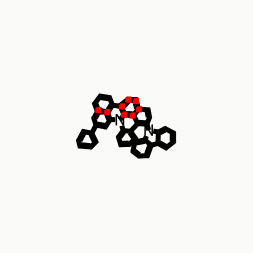 c1ccc(-c2cccc(N(c3ccccc3-c3ccccc3)c3ccccc3-c3c(-n4c5ccccc5c5ccccc54)ccc4ccccc34)c2)cc1